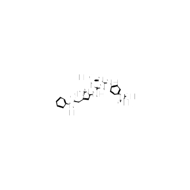 Cc1nc(Nc2ccc(N(C)C)cc2)nc(Nc2cc(CC(=O)Nc3ccccc3)[nH]n2)n1